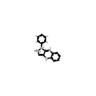 C1=C2Oc3ccccc3N=C2N(c2ccccc2)N1